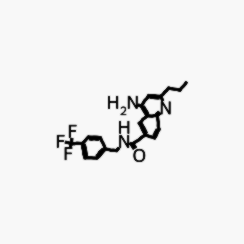 CCCc1cc(N)c2cc(C(=O)NCc3ccc(C(F)(F)F)cc3)ccc2n1